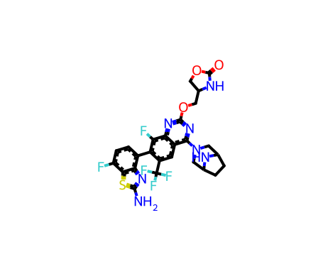 Nc1nc2c(-c3c(C(F)(F)F)cc4c(N5CC6CCC(C5)N6)nc(OCC5COC(=O)N5)nc4c3F)ccc(F)c2s1